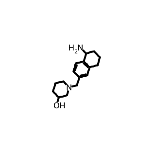 NC1CCCc2cc(CN3CCCC(O)C3)ccc21